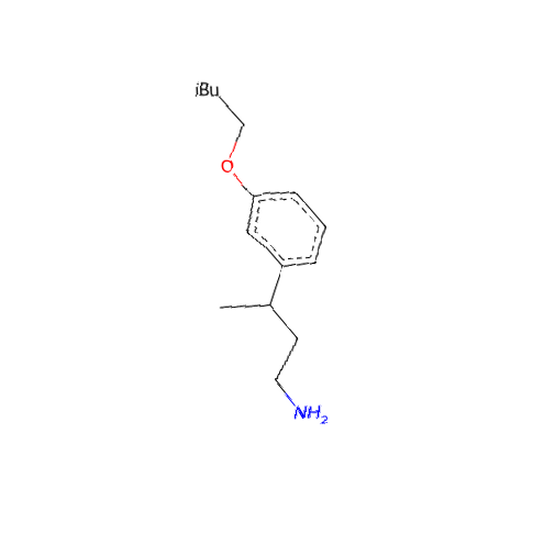 CCC(C)COc1cccc(C(C)CCN)c1